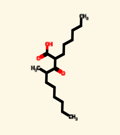 CCCCCCC(C)C(=O)C(CCCCCC)C(=O)O